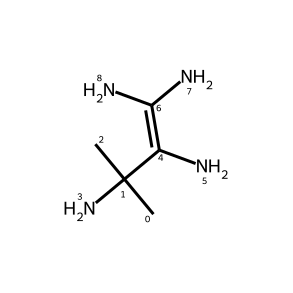 CC(C)(N)C(N)=C(N)N